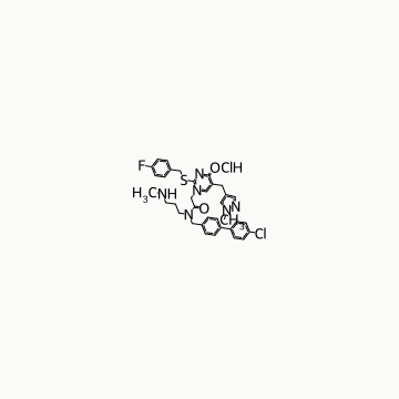 CNCCCN(Cc1ccc(-c2ccc(Cl)cc2)cc1)C(=O)Cn1cc(Cc2cnn(C)c2)c(=O)nc1SCc1ccc(F)cc1.Cl